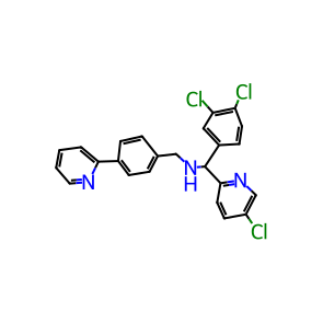 Clc1ccc(C(NCc2ccc(-c3ccccn3)cc2)c2ccc(Cl)c(Cl)c2)nc1